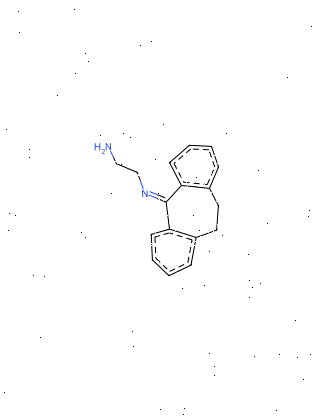 NCCN=C1c2ccccc2CCc2ccccc21